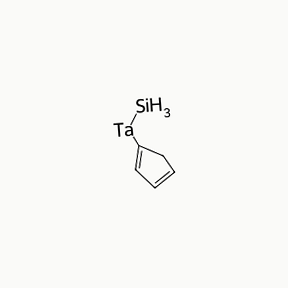 [SiH3][Ta][C]1=CC=CC1